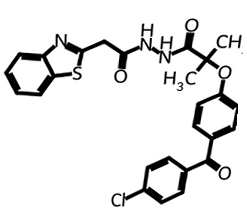 CC(C)(Oc1ccc(C(=O)c2ccc(Cl)cc2)cc1)C(=O)NNC(=O)Cc1nc2ccccc2s1